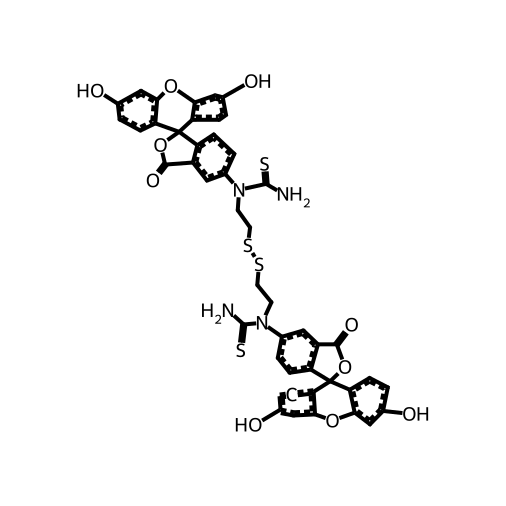 NC(=S)N(CCSSCCN(C(N)=S)c1ccc2c(c1)C(=O)OC21c2ccc(O)cc2Oc2cc(O)ccc21)c1ccc2c(c1)C(=O)OC21c2ccc(O)cc2Oc2cc(O)ccc21